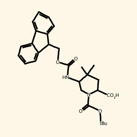 CC(C)(C)OC(=O)N1CC(NC(=O)OCC2c3ccccc3-c3ccccc32)C(C)(C)CC1C(=O)O